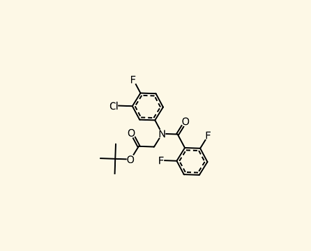 CC(C)(C)OC(=O)CN(C(=O)c1c(F)cccc1F)c1ccc(F)c(Cl)c1